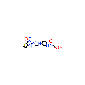 O=C(NCCO)c1ccc(N2CCN(c3nc4ccsc4c(=O)[nH]3)CC2)cc1